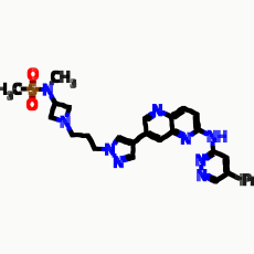 CC(C)c1cnnc(Nc2ccc3ncc(-c4cnn(CCCN5CC(N(C)S(C)(=O)=O)C5)c4)cc3n2)c1